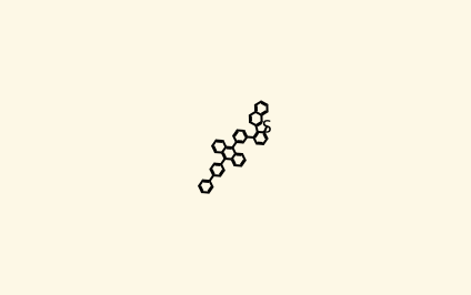 c1ccc(-c2ccc(-c3c4ccccc4c(-c4cccc(-c5cccc6sc7c8ccccc8ccc7c56)c4)c4ccccc34)cc2)cc1